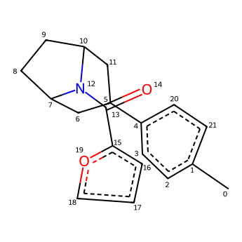 Cc1ccc(C2CC3CCC(C2)N3C(=O)c2ccco2)cc1